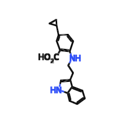 O=C(O)c1cc(C2CC2)ccc1NCCc1c[nH]c2ccccc12